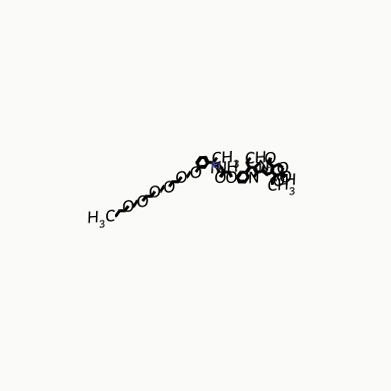 CCCCOCCOCCOCCOCCOCCOc1cccc(/C(C)=N/NC(=O)COc2ccc3nc4c(c(CC)c3c2)Cn2c-4cc3c(c2=O)COC(=O)[C@]3(O)CC)c1